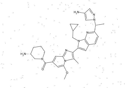 COc1cc(C(=O)N2CCC[C@@H](N)C2)cc2nc(-c3cc4ccc(C(C)n5cc(N)cn5)nc4n3CC3CC3)c(C)n12